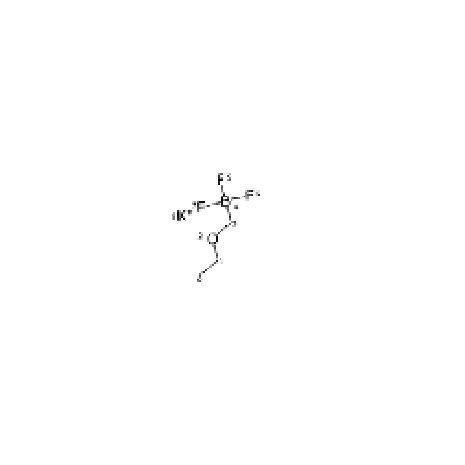 CCOC[B-](F)(F)F.[K+]